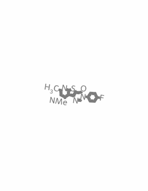 CNc1cc(C)nc2sc3c(=O)n(-c4ccc(F)cc4)cnc3c12